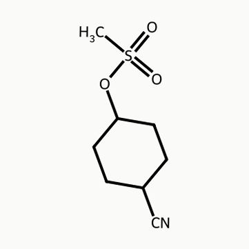 CS(=O)(=O)OC1CCC(C#N)CC1